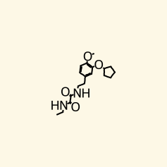 CCNC(=O)C(=O)NCCc1ccc(OC)c(OC2CCCC2)c1